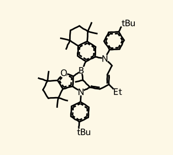 CCC1=C\CN(c2ccc(C(C)(C)C)cc2)c2cc3c(cc2B2c4oc5c(c4N(c4ccc(C(C)(C)C)cc4)\C(=C\1)C2C)C(C)(C)CCC5(C)C)C(C)(C)CCC3(C)C